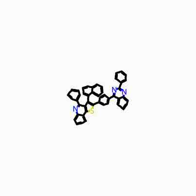 c1ccc(-c2nc(-c3ccc(-c4sc5c(c(-c6ccccc6)nc6ccccc65)c4-c4cccc5ccccc45)cc3)c3ccccc3n2)cc1